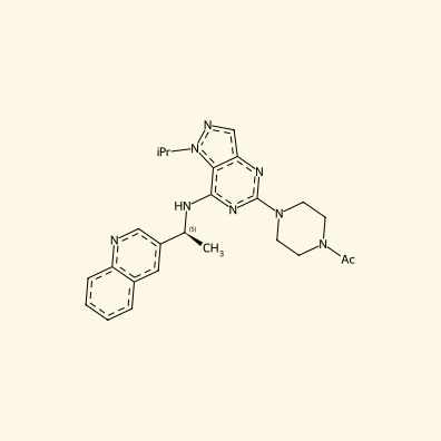 CC(=O)N1CCN(c2nc(N[C@@H](C)c3cnc4ccccc4c3)c3c(cnn3C(C)C)n2)CC1